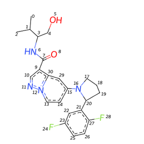 CC(C)C(CO)NC(=O)c1cnn2ccc(N3CCCC3c3cc(F)ccc3F)cc12